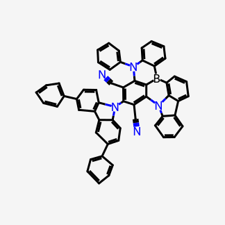 N#Cc1c2c3c(c(C#N)c1-n1c4ccc(-c5ccccc5)cc4c4cc(-c5ccccc5)ccc41)-n1c4ccccc4c4cccc(c41)B3c1ccccc1N2c1ccccc1